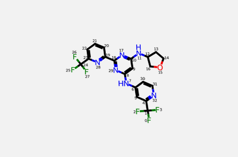 FC(F)(F)c1cc(Nc2cc(NC3CCOC3)nc(-c3cccc(C(F)(F)F)n3)n2)ccn1